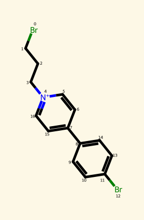 BrCCC[n+]1ccc(-c2ccc(Br)cc2)cc1